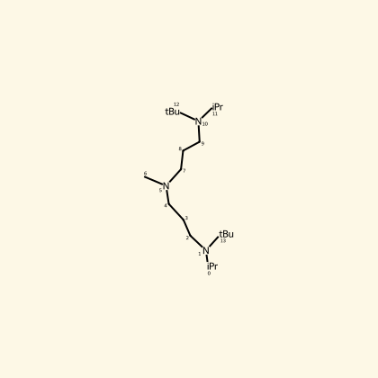 CC(C)N(CCCN(C)CCCN(C(C)C)C(C)(C)C)C(C)(C)C